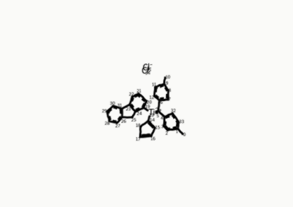 Cc1ccc([C](c2ccc(C)cc2)=[Ti+2]([C]2=CC=CC2)[c]2cccc3c2Cc2ccccc2-3)cc1.[Cl-].[Cl-]